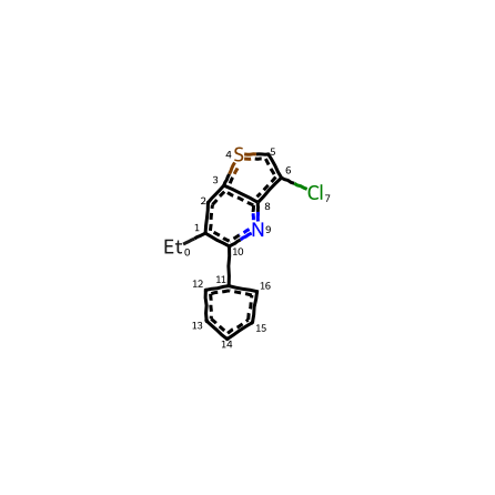 CCc1cc2scc(Cl)c2nc1-c1ccccc1